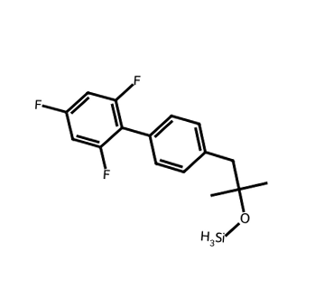 CC(C)(Cc1ccc(-c2c(F)cc(F)cc2F)cc1)O[SiH3]